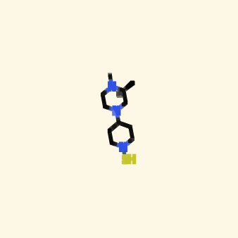 C[C@H]1CN(C2CCN(S)CC2)CCN1C